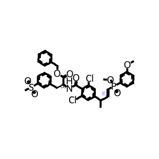 COc1cccc(P(=O)(/C=C/C(C)c2cc(Cl)c(C(=O)N[C@@H](Cc3cccc(S(C)(=O)=O)c3)C(=O)OCc3ccccc3)c(Cl)c2)OC)c1